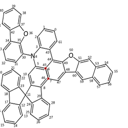 c1ccc(N(c2ccc3c(c2)C2(c4ccccc4-c4ccccc42)c2ccccc2-3)c2cccc3c2oc2ccccc23)c(-c2cccc3c2oc2cc4ccccc4cc23)c1